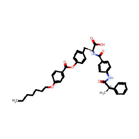 CCCCCCCOc1ccc(C(=O)Oc2ccc(C[C@H](NC(=O)c3ccc(NC(=O)[C@H](C)c4ccccc4)cc3)C(=O)O)cc2)cc1